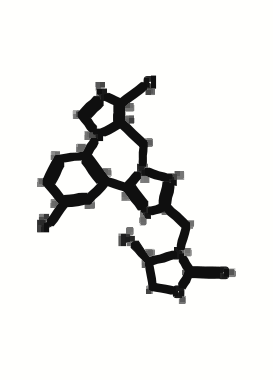 CC(C)[C@@H]1COC(=O)N1Cc1nc2n(n1)Cc1c(Cl)ncn1-c1ccc(Br)cc1-2